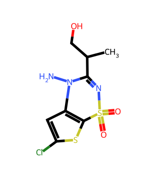 CC(CO)C1=NS(=O)(=O)c2sc(Cl)cc2N1N